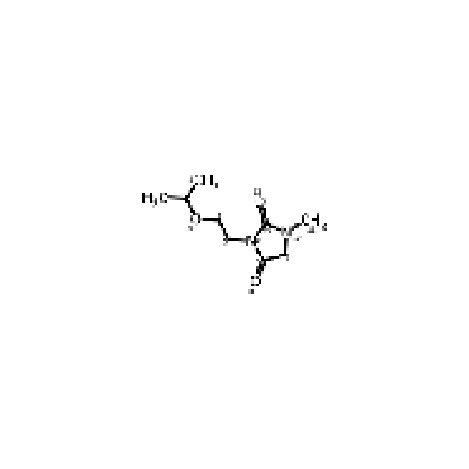 CC(C)OCCN1C(=O)CN(C)C1=O